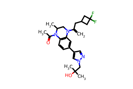 C=C(CC1CC(F)(F)C1)N1CC(C)N(C(C)=O)c2ccc(-c3cnn(CC(C)(C)O)c3)cc21